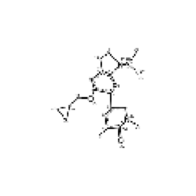 Cc1cc(-c2cc3c(cc2OCC2CC2)CCN3[S+](C)[O-])cn(C)c1=O